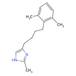 Cc1nc(CCCCc2c(C)cccc2C)c[nH]1